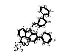 COC(=O)c1cccc2c1c1c(O)cc(-c3ccccc3)cc1n2Cc1cccc(-c2ccccc2)c1